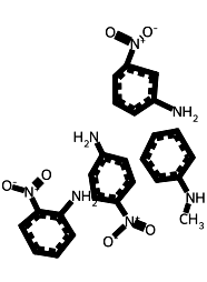 CNc1ccccc1.Nc1ccc([N+](=O)[O-])cc1.Nc1cccc([N+](=O)[O-])c1.Nc1ccccc1[N+](=O)[O-]